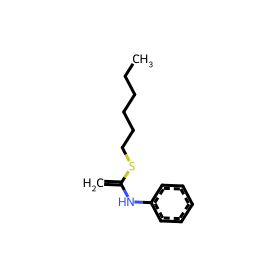 C=C(Nc1ccccc1)SCCCCCC